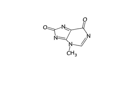 Cn1cnc(=O)c2c1=NC(=O)N=2